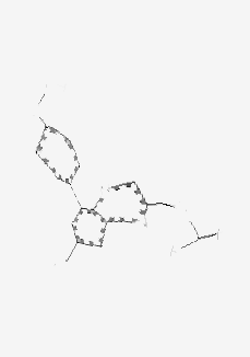 COc1ccc(-c2cc(Cl)cc3nc(OC(F)F)cnc23)cc1